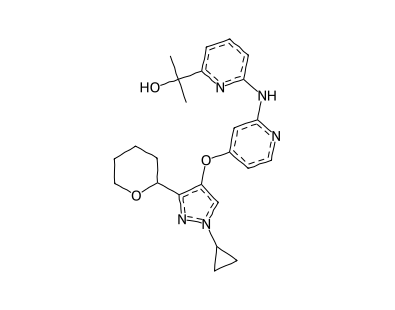 CC(C)(O)c1cccc(Nc2cc(Oc3cn(C4CC4)nc3C3CCCCO3)ccn2)n1